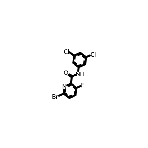 O=C(Nc1cc(Cl)cc(Cl)c1)c1nc(Br)ccc1F